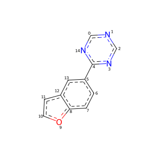 c1ncnc(-c2ccc3occc3c2)n1